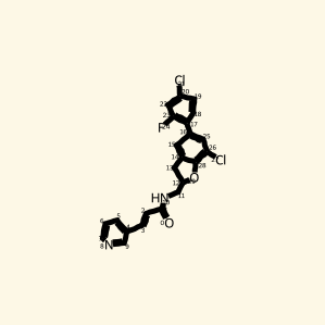 O=C(/C=C/c1cccnc1)NCC1Cc2cc(-c3ccc(Cl)cc3F)cc(Cl)c2O1